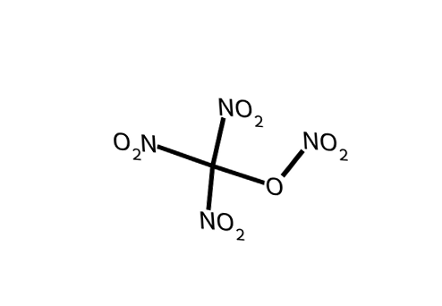 O=[N+]([O-])OC([N+](=O)[O-])([N+](=O)[O-])[N+](=O)[O-]